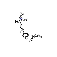 CN(C)Cc1cccc(OCCCN/C(S)=N/C#N)c1